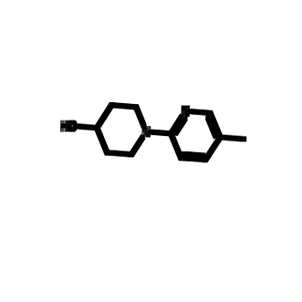 Cc1ccc(N2CCC(O)CC2)nc1